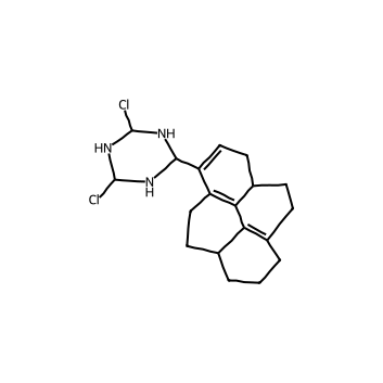 ClC1NC(Cl)NC(C2=CCC3CCC4=C5C3=C2CCC5CCC4)N1